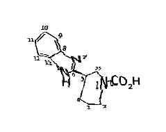 O=C(O)N1CCC[C@@H](c2nc3ccccc3[nH]2)C1